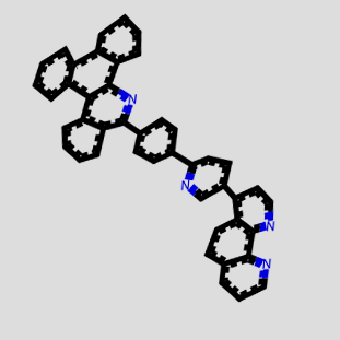 c1cnc2c(c1)ccc1c(-c3ccc(-c4ccc(-c5nc6c7ccccc7c7ccccc7c6c6ccccc56)cc4)nc3)ccnc12